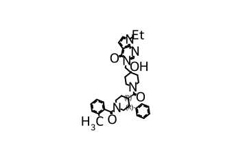 CCn1ccc2c(=O)n(CC3(O)CCN(C(=O)[C@@H]4CCN(C(=O)c5ccccc5C)C[C@H]4c4ccccc4)CC3)cnc21